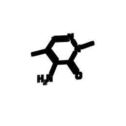 Cc1[c]nn(C)c(=O)c1N